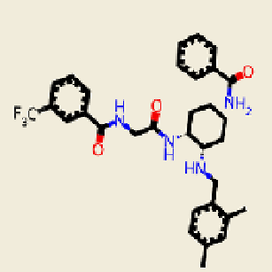 Cc1ccc(CN[C@H]2CCCC[C@H]2NC(=O)CNC(=O)c2cccc(C(F)(F)F)c2)c(C)c1.NC(=O)c1ccccc1